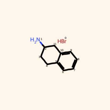 Br.NC1CCc2ccccc2C1